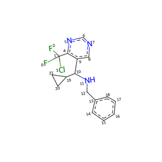 FC(F)(Cl)c1ncncc1C(NCc1ccccc1)C1CC1